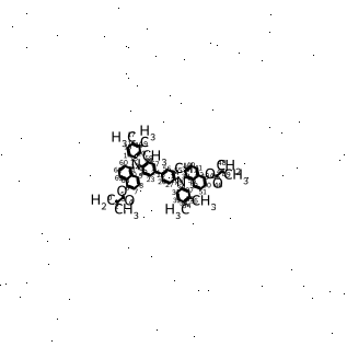 C=C(C)C(=O)Oc1cccc2c(N(c3ccc(C)c(C)c3)c3ccc(-c4ccc(N(c5ccc(C)c(C)c5)c5cccc6c(OC(=O)C(=C)C)cccc56)c(C)c4)cc3C)cccc12